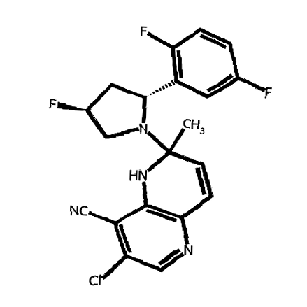 CC1(N2C[C@@H](F)C[C@@H]2c2cc(F)ccc2F)C=Cc2ncc(Cl)c(C#N)c2N1